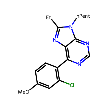 CCCCCn1c(CC)nc2c(-c3ccc(OC)cc3Cl)ncnc21